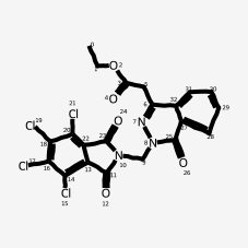 CCOC(=O)Cc1nn(CN2C(=O)c3c(Cl)c(Cl)c(Cl)c(Cl)c3C2=O)c(=O)c2ccccc12